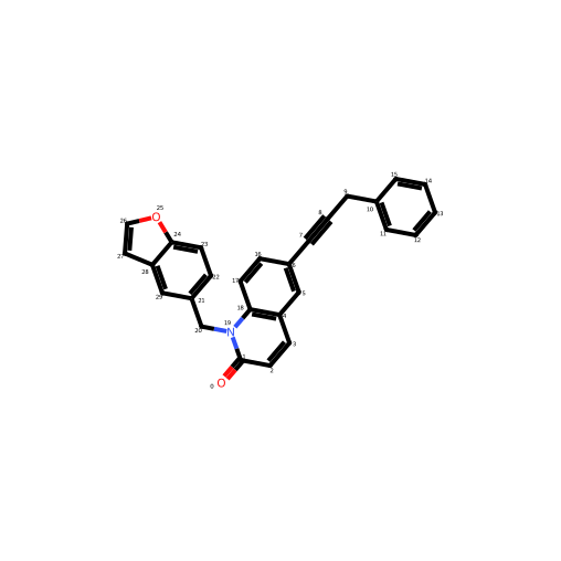 O=c1ccc2cc(C#CCc3ccccc3)ccc2n1Cc1ccc2occc2c1